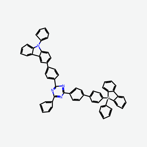 c1ccc(-c2nc(-c3ccc(-c4ccc([Si]5(c6ccccc6)c6ccccc6-c6ccccc65)cc4)cc3)nc(-c3ccc(-c4ccc5c(c4)c4ccccc4n5-c4ccccc4)cc3)n2)cc1